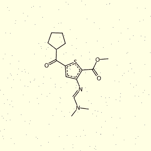 COC(=O)c1sc(C(=O)C2CCCC2)cc1N=CN(C)C